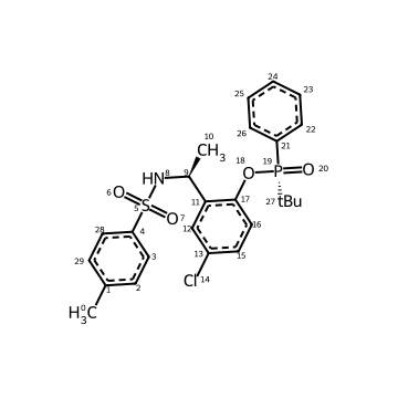 Cc1ccc(S(=O)(=O)N[C@@H](C)c2cc(Cl)ccc2O[P@](=O)(c2ccccc2)C(C)(C)C)cc1